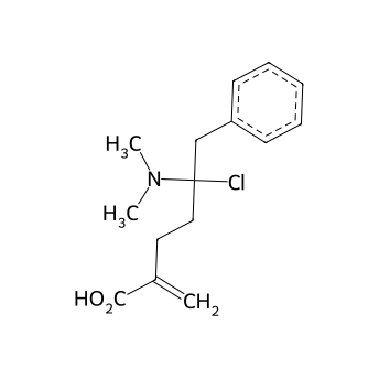 C=C(CCC(Cl)(Cc1ccccc1)N(C)C)C(=O)O